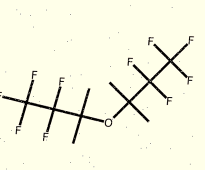 CC(C)(OC(C)(C)C(F)(F)C(F)(F)F)C(F)(F)C(F)(F)F